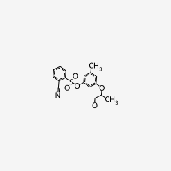 Cc1cc(OC(C)C=O)cc(OS(=O)(=O)c2ccccc2C#N)c1